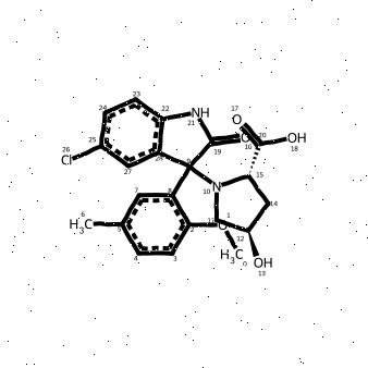 COc1ccc(C)cc1C1(N2C[C@H](O)C[C@H]2C(=O)O)C(=O)Nc2ccc(Cl)cc21